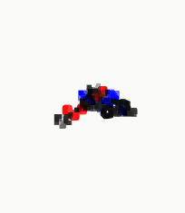 COc1cccc(OC)c1-n1c(NS(=O)(=O)[C@@H](C)[C@H](C)c2ncc(OCOC(=O)C(F)(F)F)cn2)nnc1-c1cccnc1